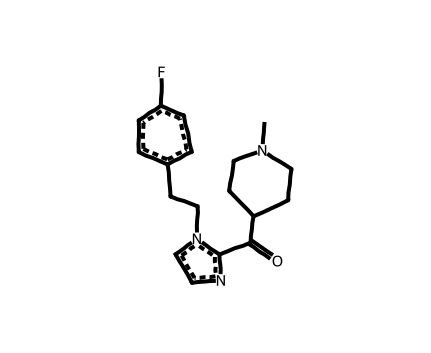 CN1CCC(C(=O)c2nccn2CCc2ccc(F)cc2)CC1